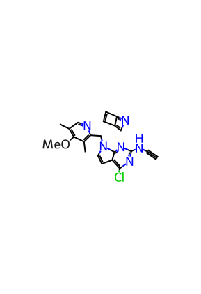 C#CNc1nc(Cl)c2ccn(Cc3ncc(C)c(OC)c3C)c2n1.c1cc2ncc1-2